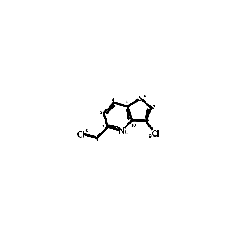 ClCc1ccc2scc(Cl)c2n1